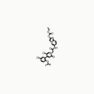 CCOC(=O)Oc1cn2cc(NC(=O)Cn3cc(Cl)c(-c4cc(Cl)ccc4OC(F)F)cc3=O)ccc2n1